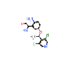 CC(Oc1ccc(N)c(C(=N)C=O)c1)c1c(Cl)cncc1Cl